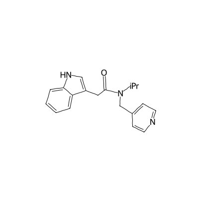 CC(C)N(Cc1ccncc1)C(=O)Cc1c[nH]c2ccccc12